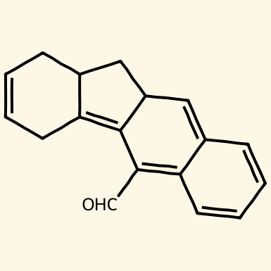 O=CC1=c2ccccc2=CC2CC3CC=CCC3=C12